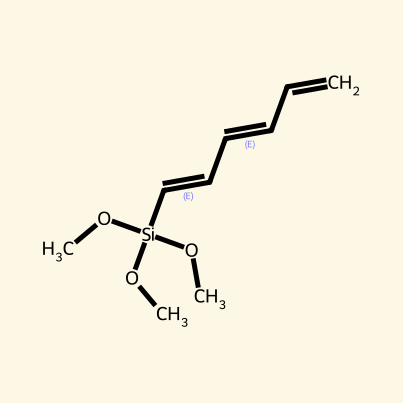 C=C/C=C/C=C/[Si](OC)(OC)OC